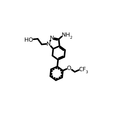 NC1=NN(CCO)C2CC(c3ccccc3OCC(F)(F)F)=CC=C12